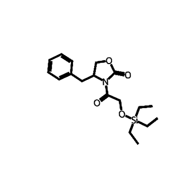 CC[Si](CC)(CC)OCC(=O)N1C(=O)OCC1Cc1ccccc1